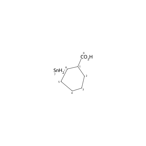 O=C(O)C1CCCCC1.[SnH2]